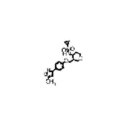 Cc1cc(-c2ccc(OCC3COCCC3NS(=O)(=O)C3CC3)cc2)no1